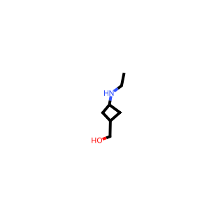 CCNC1CC(CO)C1